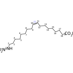 NNCCCCCCCC/C=C\CCCCCCCC(=O)O